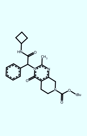 Cc1nc2c(c(=O)n1C(C(=O)NC1CCC1)c1ccccc1)CCN(C(=O)OC(C)(C)C)C2